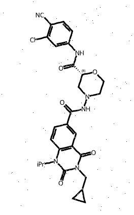 CC(C)n1c(=O)n(CC2CC2)c(=O)c2cc(C(=O)NN3CCO[C@@H](C(=O)Nc4ccc(C#N)c(Cl)c4)C3)ccc21